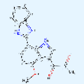 COc1ccc(-c2nc3ccccc3[nH]2)c2[nH]cc(C(=O)C(C)=O)c12